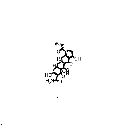 CCCCOC(=O)c1ccc(O)c2c1C[C@H]1C[C@H]3CC(O)=C(C(N)=O)C(=O)[C@@]3(O)C(O)=C1C2=O